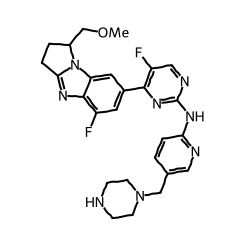 COCC1CCc2nc3c(F)cc(-c4nc(Nc5ccc(CN6CCNCC6)cn5)ncc4F)cc3n21